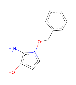 Nc1c(O)ccn1OCc1ccccc1